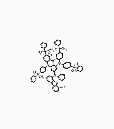 CC(C)c1cccc2c1oc1c(N(c3ccccc3)c3cc4c5c(c3)N(c3ccc(C(C)(C)c6ccccc6)cc3)c3ccc(C(C)(C)c6ccccc6)cc3B5c3cc(C(C)(C)c5ccccc5)ccc3N4c3ccc(C(C)(C)c4ccccc4)cc3)cccc12